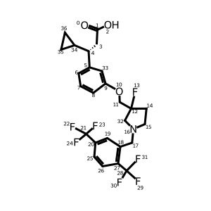 O=C(O)C[C@H](c1cccc(OCC2(F)CCN(Cc3cc(C(F)(F)F)ccc3C(F)(F)F)C2)c1)C1CC1